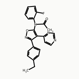 CCc1ccc(-c2noc(N(C(C)=O)c3ccccc3F)c2-c2ccncn2)cc1